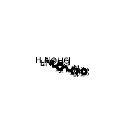 Cl.Cl.NNC(=O)Cc1ccc(CCc2cnc(N3CCCC3)nc2)cc1